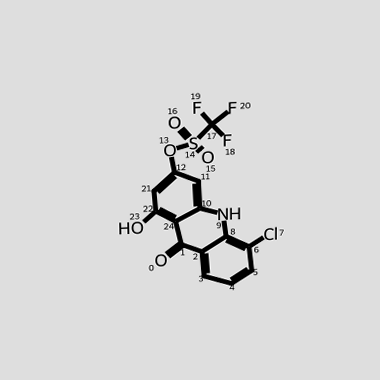 O=c1c2cccc(Cl)c2[nH]c2cc(OS(=O)(=O)C(F)(F)F)cc(O)c12